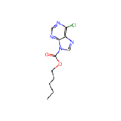 CCCCCOC(=O)n1cnc2c(Cl)ncnc21